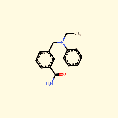 CCN(Cc1cccc(C(N)=O)c1)c1ccccc1